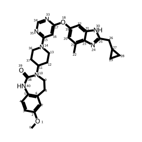 COc1ccc2c(c1)CCN(C1CCN(c3cc(Oc4cc(C)c5nc(CC6CC6)[nH]c5c4)ncn3)CC1)C(=O)N2